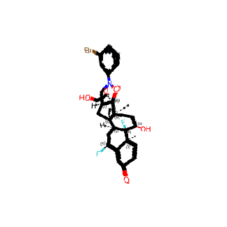 C[C@]12C[C@H](O)[C@@]3(F)[C@@H](C[C@H](F)C4=CC(=O)C=C[C@@]43C)[C@]1(C)C[C@H]1CN(c3cccc(Br)c3)O[C@]12C(=O)CO